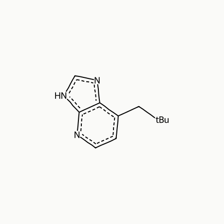 CC(C)(C)Cc1ccnc2[nH]cnc12